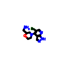 NCC1CN(c2c(Br)cnc3[nH]ncc23)CCO1